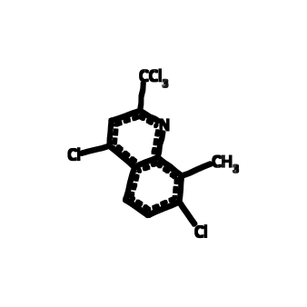 Cc1c(Cl)ccc2c(Cl)cc(C(Cl)(Cl)Cl)nc12